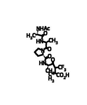 CC(=O)N[C@@H](C)C(=O)N[C@@H](C)C(=O)N1CCC[C@H]1C(=O)N[C@@H](C)C(=O)C(C(C)C(=O)O)C(F)(F)F